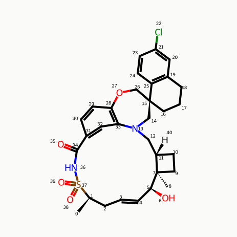 C[C@@H]1C/C=C/[C@H](O)[C@]2(C)CC[C@H]2CN2C[C@@]3(CCCc4cc(Cl)ccc43)COc3ccc(cc32)C(=O)NS1(=O)=O